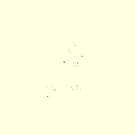 CC1CC(=O)NC(SCC(=O)Nc2nccs2)=C1C#N